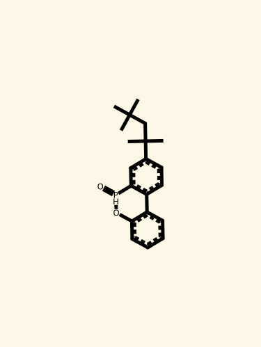 CC(C)(C)CC(C)(C)c1ccc2c(c1)[PH](=O)Oc1ccccc1-2